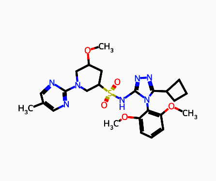 COc1cccc(OC)c1-n1c(NS(=O)(=O)C2CC(OC)CN(c3ncc(C)cn3)C2)nnc1C1CCC1